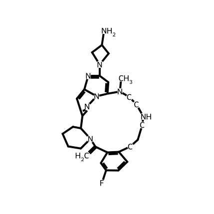 C=C1c2cc(F)ccc2CCCNCCN(C)c2cc(N3CC(N)C3)nc3cc(nn23)C2CCCCN12